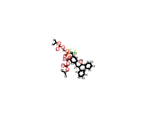 CC(C)OC(=O)OCOP(=O)(OCOC(=O)OC(C)C)C(F)(F)c1ccc(CC(C(=O)c2ccccc2)c2ccccc2)cc1Br